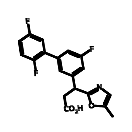 Cc1cnc(C(CC(=O)O)c2cc(F)cc(-c3cc(F)ccc3F)c2)o1